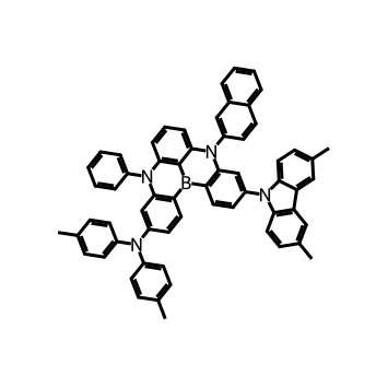 Cc1ccc(N(c2ccc(C)cc2)c2ccc3c(c2)N(c2ccccc2)c2cccc4c2B3c2ccc(-n3c5ccc(C)cc5c5cc(C)ccc53)cc2N4c2ccc3ccccc3c2)cc1